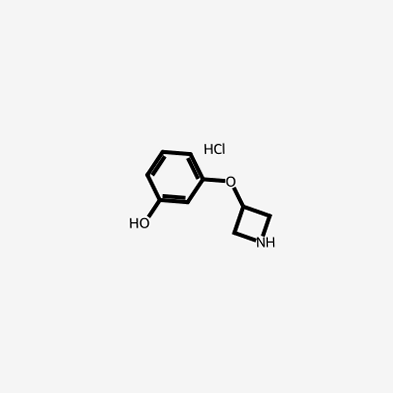 Cl.Oc1cccc(OC2CNC2)c1